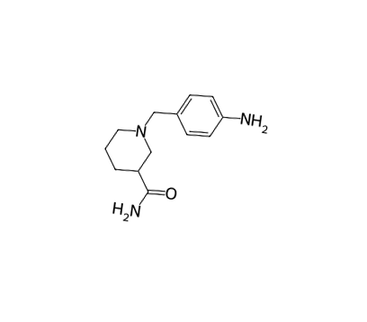 NC(=O)C1CCCN(Cc2ccc(N)cc2)C1